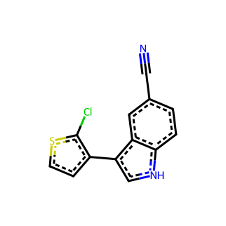 N#Cc1ccc2[nH]cc(-c3ccsc3Cl)c2c1